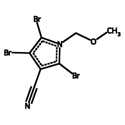 COCn1c(Br)c(Br)c(C#N)c1Br